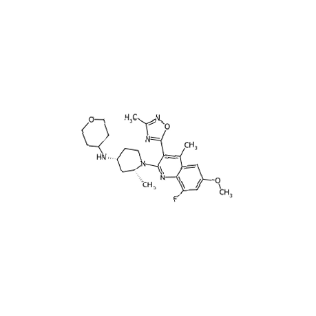 COc1cc(F)c2nc(N3CC[C@@H](NC4CCOCC4)C[C@H]3C)c(-c3nc(C)no3)c(C)c2c1